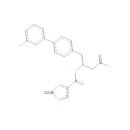 O=C(O)CC(Cc1ccc(-c2cccc(Cl)c2)cc1)NC(=O)c1c[nH]c(=O)o1